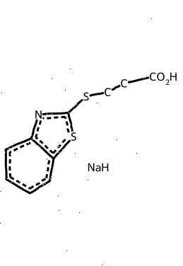 O=C(O)CCSc1nc2ccccc2s1.[NaH]